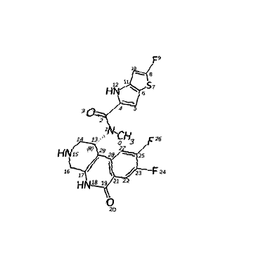 CN(C(=O)c1cc2sc(F)cc2[nH]1)[C@H]1CNCc2[nH]c(=O)c3cc(F)c(F)cc3c21